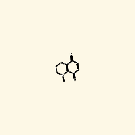 CN1CCSC2=C1C(=O)C=CC2=O